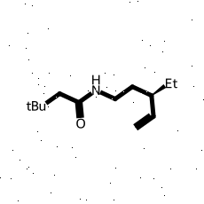 C=C[C@H](CC)CCNC(=O)CC(C)(C)C